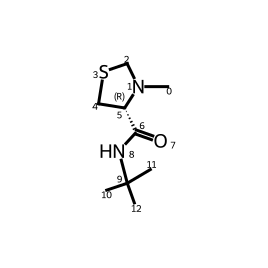 CN1CSC[C@H]1C(=O)NC(C)(C)C